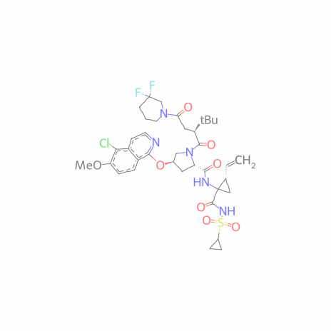 C=C[C@@H]1CC1(NC(=O)[C@@H]1C[C@@H](Oc2nccc3c(Cl)c(OC)ccc23)CN1C(=O)[C@@H](CC(=O)N1CCCC(F)(F)C1)C(C)(C)C)C(=O)NS(=O)(=O)C1CC1